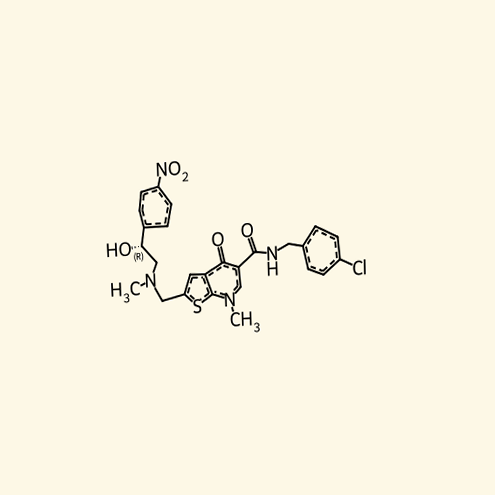 CN(Cc1cc2c(=O)c(C(=O)NCc3ccc(Cl)cc3)cn(C)c2s1)C[C@H](O)c1ccc([N+](=O)[O-])cc1